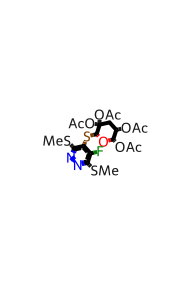 CSc1nnc(SC)c(SC2OC(OC(C)=O)C(OC(C)=O)CC2(OC(C)=O)OC(C)=O)c1F